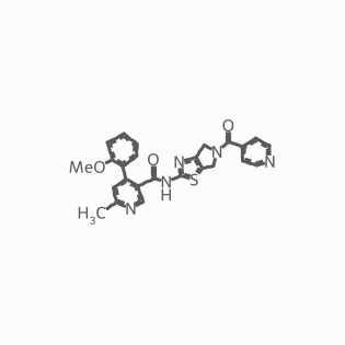 COc1ccccc1-c1cc(C)ncc1C(=O)Nc1nc2c(s1)CN(C(=O)c1ccncc1)C2